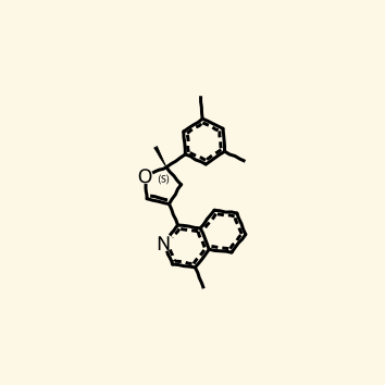 Cc1cc(C)cc([C@]2(C)CC(c3ncc(C)c4ccccc34)=CO2)c1